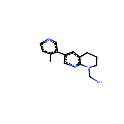 Cc1ccncc1-c1cnc2c(c1)CCCN2CN